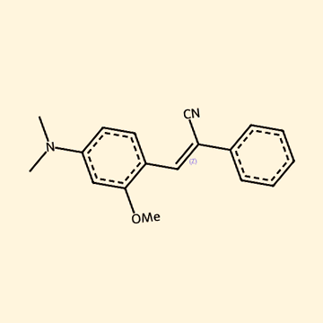 COc1cc(N(C)C)ccc1/C=C(\C#N)c1ccccc1